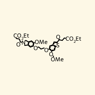 CCOC(=O)CCC(=O)c1cc2cc(OCCCOc3cc4c(cc3OC)CN(C(=O)CCC(=O)OCC)C4)c(OCOC)cc2s1